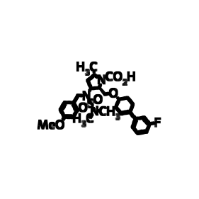 COc1ccc(CN([C@H]2C[C@@H](C)N(C(=O)O)[C@H]2CO[C@@H]2CC=C(c3cccc(F)c3)CC2)S(=O)(=O)N(C)C)cc1